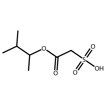 CC(C)C(C)OC(=O)CS(=O)(=O)O